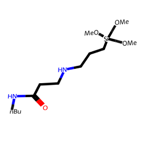 CCCCNC(=O)CCNCCC[Si](OC)(OC)OC